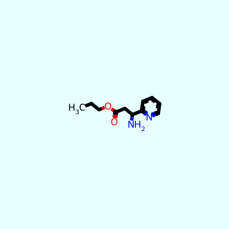 CCCOC(=O)CC(N)c1ccccn1